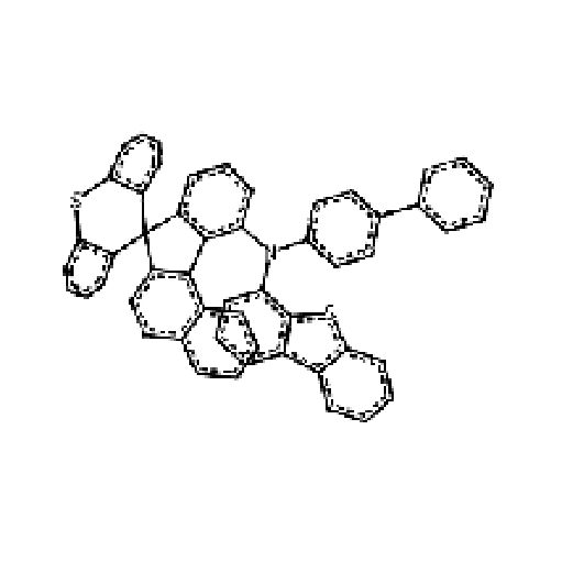 c1ccc(-c2ccc(N(c3cccc4c3-c3c(ccc5ccccc35)C43c4ccccc4Sc4ccccc43)c3cccc4c3sc3ccccc34)cc2)cc1